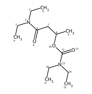 CCN(CC)C(=O)CC(C)OC(=O)N(CC)CC